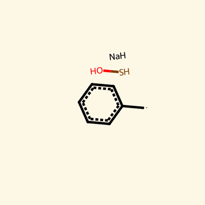 OS.[CH2]c1ccccc1.[NaH]